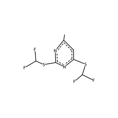 Cc1cc(SC(F)F)nc(SC(F)F)n1